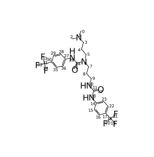 CN(C)CCCN(CCCNC(=O)Nc1ccc(C(F)(F)F)cc1)C(=O)Nc1ccc(C(F)(F)F)cc1